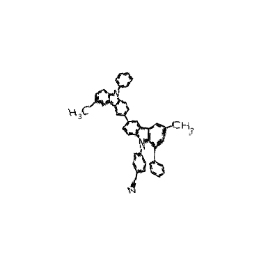 Cc1ccc2c(c1)c1cc(-c3ccc4c(c3)c3cc(C)cc(-c5ccccc5)c3n4-c3ccc(C#N)cc3)ccc1n2-c1ccccc1